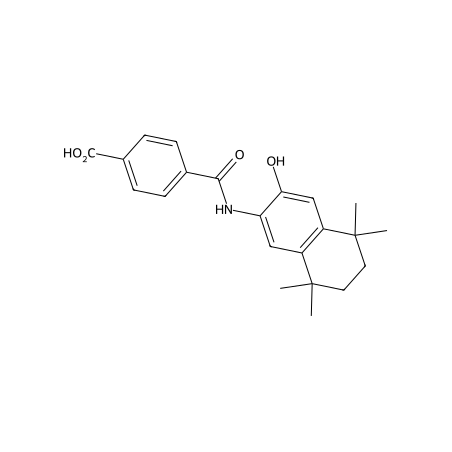 CC1(C)CCC(C)(C)c2cc(NC(=O)c3ccc(C(=O)O)cc3)c(O)cc21